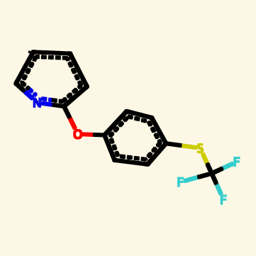 FC(F)(F)Sc1ccc(Oc2cc[c]cn2)cc1